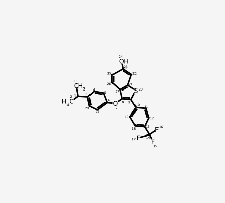 CC(C)c1ccc(Oc2c(-c3ccc(C(F)(F)F)cc3)sc3cc(O)ccc23)cc1